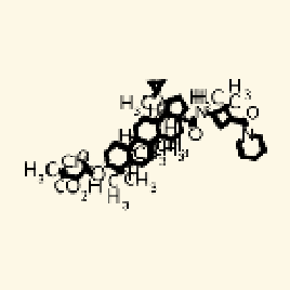 CC(C)(CC(=O)O[C@H]1CC[C@]2(C)[C@H]3CC[C@@H]4[C@H]5[C@H](C6(C)CC6)CC[C@]5(C(=O)NC5CC(C(=O)N6CCCCC6)C5(C)C)CC[C@@]4(C)[C@]3(C)CC[C@H]2C1(C)C)C(=O)O